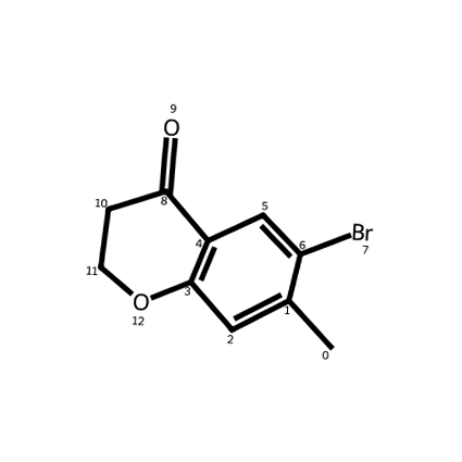 Cc1cc2c(cc1Br)C(=O)CCO2